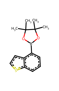 CC1(C)OB(c2cccc3sccc23)OC1(C)C